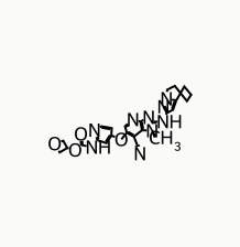 Cn1c(Nc2cc3n(n2)CCC32CCC2)nc2ncc(Oc3ccnc(NC(=O)OC4COC4)c3)c(C#N)c21